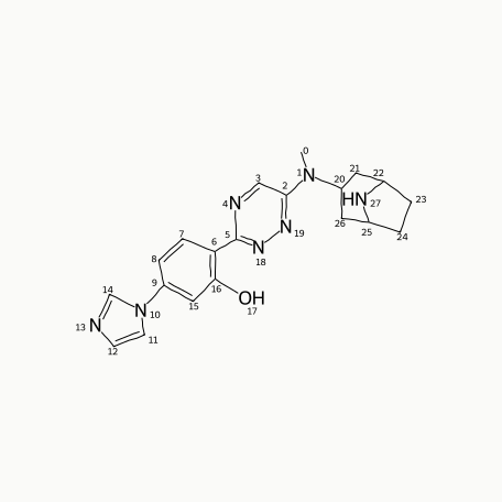 CN(c1cnc(-c2ccc(-n3ccnc3)cc2O)nn1)C1CC2CCC(C1)N2